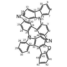 N#Cc1ccc(-n2c3ccccc3c3ccccc32)c(-c2cc(C#N)ccc2-n2c3ccccc3c3c4c(ccc32)oc2ccccc24)c1